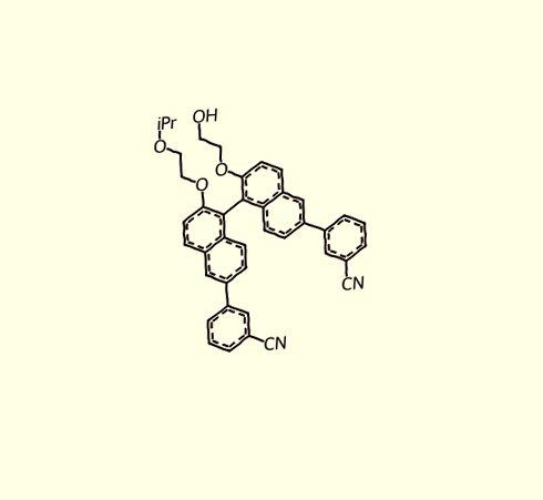 CC(C)OCCOc1ccc2cc(-c3cccc(C#N)c3)ccc2c1-c1c(OCCO)ccc2cc(-c3cccc(C#N)c3)ccc12